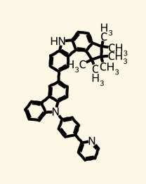 CC1(C)c2ccc3[nH]c4ccc(-c5ccc6c(c5)c5ccccc5n6-c5ccc(-c6ccccn6)cc5)cc4c3c2C(C)(C)C1(C)C